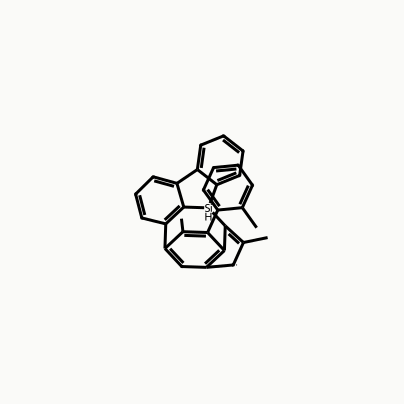 CC1=C2c3c(cc(c(C)c3-c3ccccc3C)-c3cccc4c3[SiH]2c2ccccc2-4)[CH]1